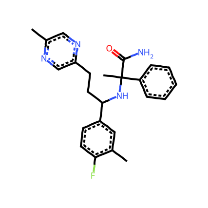 Cc1cnc(CCC(NC(C)(C(N)=O)c2ccccc2)c2ccc(F)c(C)c2)cn1